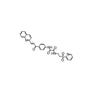 O=C(NCCS(=O)(=O)c1ccccn1)C(=O)Nc1ccc(C(=O)/C=C/c2ccc3ccccc3n2)cc1